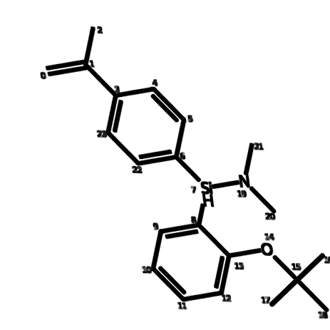 C=C(C)c1ccc([SiH](c2ccccc2OC(C)(C)C)N(C)C)cc1